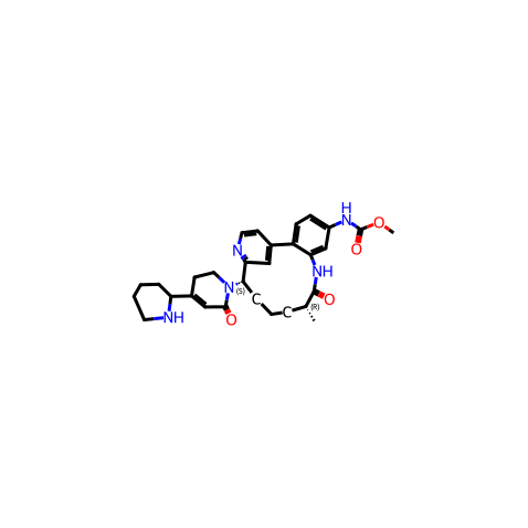 COC(=O)Nc1ccc2c(c1)NC(=O)[C@H](C)CCC[C@H](N1CCC(C3CCCCN3)=CC1=O)c1cc-2ccn1